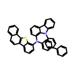 c1ccc(-c2ccc(N(c3cccc4c3sc3c5ccccc5ccc43)c3cccc4c5ccccc5n(-c5ccccc5)c34)cc2)cc1